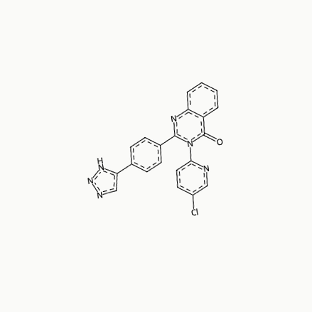 O=c1c2ccccc2nc(-c2ccc(-c3cnn[nH]3)cc2)n1-c1ccc(Cl)cn1